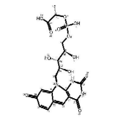 C[C@H](OP(=O)(O)OC[C@@H](O)[C@@H](O)[C@@H](O)Cn1c2cc(=O)ccc-2cc2c(=O)[nH]c(=O)[nH]c21)C(=O)O